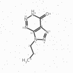 CCCn1nnc2c(=O)[nH]nnc21